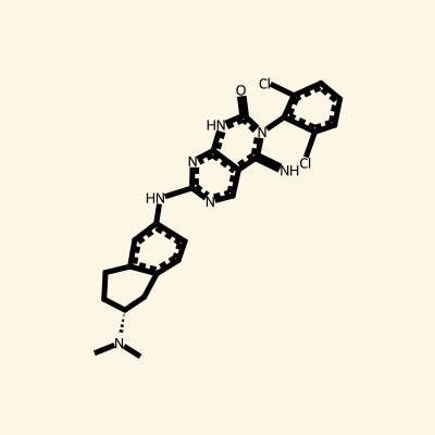 CN(C)[C@@H]1CCc2cc(Nc3ncc4c(=N)n(-c5c(Cl)cccc5Cl)c(=O)[nH]c4n3)ccc2C1